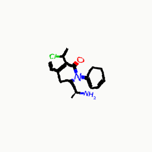 C=CC1=C(C(=C)Cl)C(=O)N(C2=CC=CCC2)C([C@H](C)N)C1